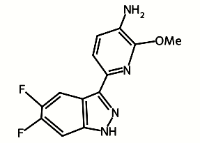 COc1nc(-c2n[nH]c3cc(F)c(F)cc23)ccc1N